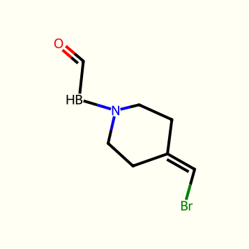 O=CBN1CCC(=CBr)CC1